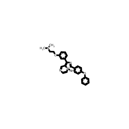 CN(C)CCOc1cccc(C2=C3C=NC=C[N+]3(N)C(c3ccc(Oc4ccccc4)cc3)=N2)c1